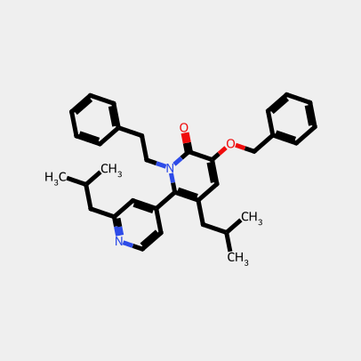 CC(C)Cc1cc(-c2c(CC(C)C)cc(OCc3ccccc3)c(=O)n2CCc2ccccc2)ccn1